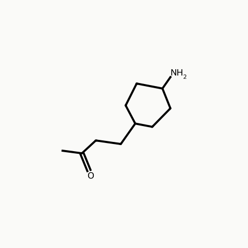 CC(=O)CCC1CCC(N)CC1